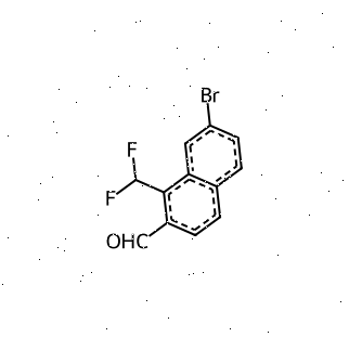 O=Cc1ccc2ccc(Br)cc2c1C(F)F